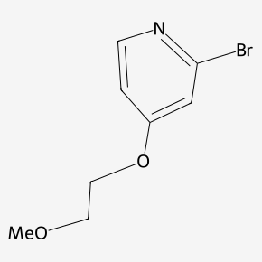 COCCOc1ccnc(Br)c1